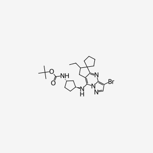 CCC1Cc2c(nc3c(Br)cnn3c2N[C@H]2CC[C@H](NC(=O)OC(C)(C)C)C2)C12CCCC2